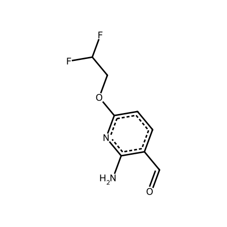 Nc1nc(OCC(F)F)ccc1C=O